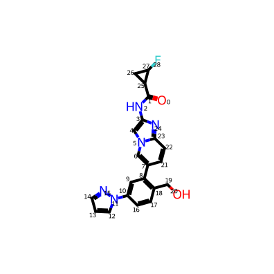 O=C(Nc1cn2cc(-c3cc(-n4cccn4)ccc3CO)ccc2n1)C1CC1F